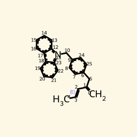 C=C(/C=C/C)Cc1ccc(Cn2c3ccccc3c3ccccc32)cc1